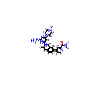 CC1Cc2ccc(-c3ccnc(C(=O)N(C)C)c3)cc2CN1c1cc(N2CCN(C)CC2)nc(N)n1